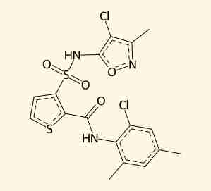 Cc1cc(C)c(NC(=O)c2sccc2S(=O)(=O)Nc2onc(C)c2Cl)c(Cl)c1